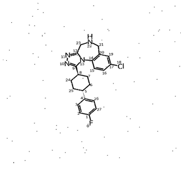 Fc1ccc([C@H]2CC[C@H](c3nnc4n3-c3ccc(Cl)cc3CNC4)CC2)cc1